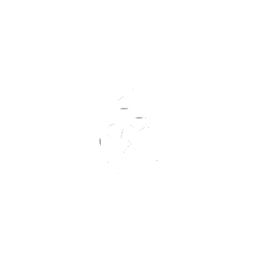 COc1cccc(OC)c1-n1c(-c2ccc(C)o2)nnc1N(CC[Si](C)(C)C)S(=O)(=O)C(C)CN1C(=O)CCC[C@@H]1CO